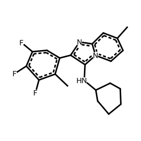 Cc1ccn2c(NC3CCCCC3)c(-c3cc(F)c(F)c(F)c3C)nc2c1